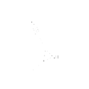 CC1NC1C#N